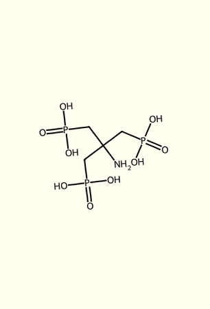 NC(CP(=O)(O)O)(CP(=O)(O)O)CP(=O)(O)O